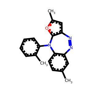 Cc1ccc2c(c1)N=Nc1cc(C)oc1N2c1ccccc1C